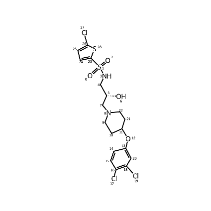 O=S(=O)(NC[C@H](O)CN1CCC(Oc2ccc(Cl)c(Cl)c2)CC1)c1ccc(Cl)s1